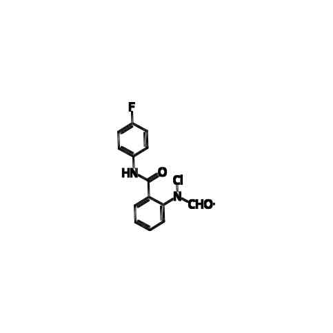 O=[C]N(Cl)c1ccccc1C(=O)Nc1ccc(F)cc1